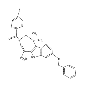 CCOC(=O)C1=CN(C(=O)c2ccc(F)cc2)CC(C)(C)c2c1[nH]c1cc(OCc3ccccc3)ccc21